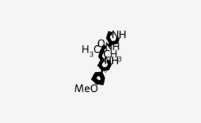 COc1ccc([C@@H]2CCNC(CC(C)(C)C(=O)NC3CCNCC3)C2)cc1